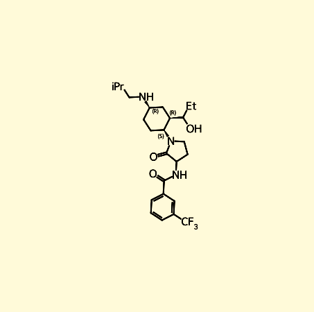 CCC(O)[C@@H]1C[C@H](NCC(C)C)CC[C@@H]1N1CCC(NC(=O)c2cccc(C(F)(F)F)c2)C1=O